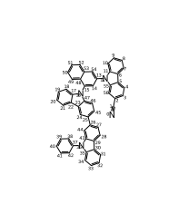 N#Cc1ccc2c3ccccc3n(-c3cc(-n4c5ccccc5c5cc(-c6ccc7c8ccccc8n(-c8ccccc8)c7c6)ccc54)c4ccccc4c3)c2c1